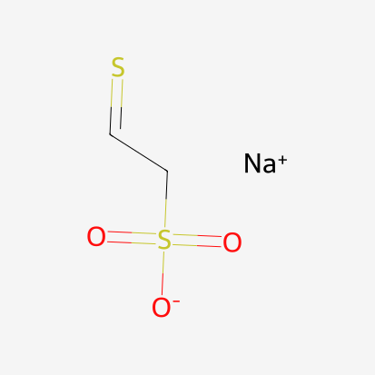 O=S(=O)([O-])CC=S.[Na+]